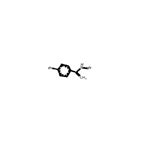 C=C(NC(C)C)c1ccc(C(C)C)cc1